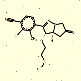 COCCO[C@@H]1C(c2ccc(C#N)c(Cl)c2C)=NN2CC(=O)C[C@@H]12